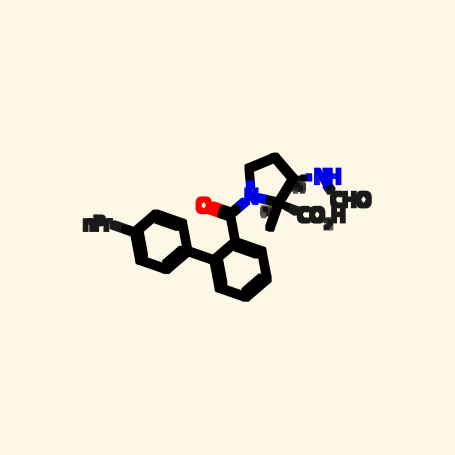 CCCc1ccc(-c2ccccc2C(=O)N2CC[C@H](NC=O)[C@@]2(C)C(=O)O)cc1